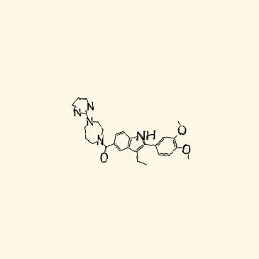 CCc1c(-c2ccc(OC)c(OC)c2)[nH]c2ccc(C(=O)N3CCCN(c4ncccn4)CC3)cc12